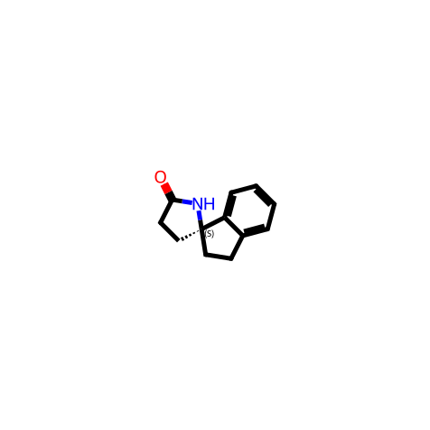 O=C1CC[C@]2(CCc3ccccc32)N1